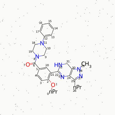 CCCOc1ccc(C(=O)N2CCN(c3ccccc3)CC2)cc1C1=Nc2c(CCC)nn(C)c2CN1